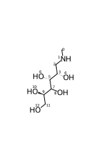 CNC[C@H](O)[C@@H](O)C(O)[C@H](O)CO